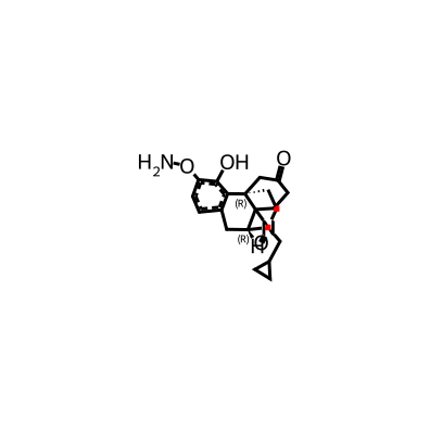 NOc1ccc2c(c1O)[C@]13CCN(CC4CC4)[C@H](C2)C1(N=O)CCC(=O)C3